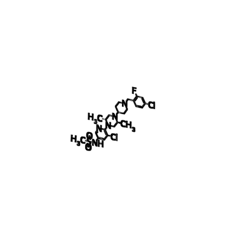 C[C@@H]1CN(C2CCN(Cc3ccc(Cl)cc3F)CC2)[C@@H](C)CN1c1ncc(NS(C)(=O)=O)cc1Cl